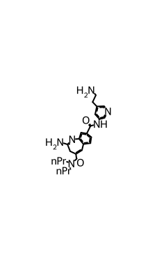 CCCN(CCC)C(=O)C1=Cc2ccc(C(=O)Nc3cncc(CCN)c3)cc2N=C(N)C1